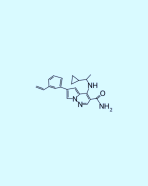 C=Cc1cccc(-c2cc3c(NC(C)C4CC4)c(C(N)=O)cnn3c2)c1